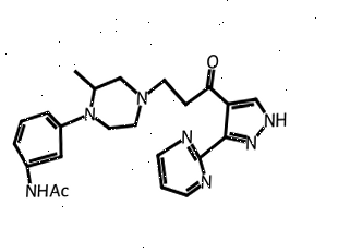 CC(=O)Nc1cccc(N2CCN(CCC(=O)c3c[nH]nc3-c3ncccn3)CC2C)c1